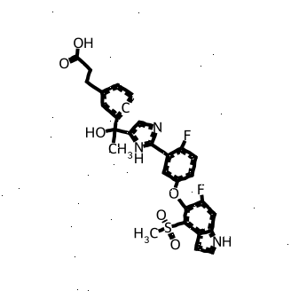 CC(O)(c1cccc(CCC(=O)O)c1)c1cnc(-c2cc(Oc3c(F)cc4[nH]ccc4c3S(C)(=O)=O)ccc2F)[nH]1